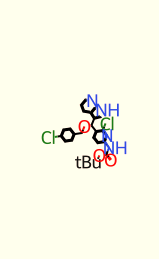 CC(C)(C)OC(=O)Nc1ccc(C(OCc2ccc(Cl)cc2)c2c[nH]c3ncccc23)c(Cl)n1